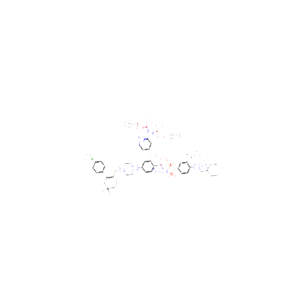 CC1(C)CCC(CN2CCN(c3ccc(C(=O)NS(=O)(=O)c4ccc(NCC5CCOCC5)c([N+](=O)[O-])c4)c(Oc4ccnc(N(C(=O)OC(C)(C)C)C(=O)OC(C)(C)C)c4)c3)CC2)=C(c2ccc(Cl)cc2)C1